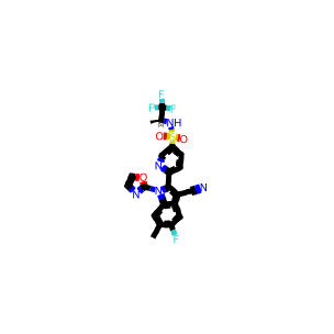 Cc1cc2c(cc1F)c(C#N)c(-c1ccc(S(=O)(=O)N[C@@H](C)C(F)(F)F)cn1)n2-c1ncco1